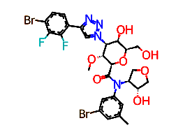 CO[C@@H]1[C@@H](n2cc(-c3ccc(Br)c(F)c3F)nn2)[C@@H](O)[C@@H](CO)O[C@H]1C(=O)N(c1cc(C)cc(Br)c1)[C@H]1COC[C@@H]1O